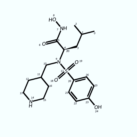 CC(C)C[C@H](C(=O)NO)N(CC1CCNCC1)S(=O)(=O)c1ccc(O)cc1